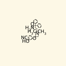 CC(C)(CCC(C(N)=O)(c1ccccc1)c1ccccc1)N1CC[C@@H](Oc2ccc(C#N)c(O)c2)C1